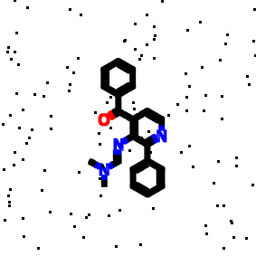 CN(C)/C=N/c1c(C(=O)c2ccccc2)ccnc1-c1ccccc1